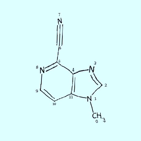 Cn1cnc2c(C#N)nccc21